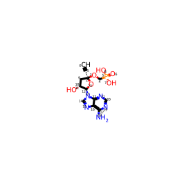 C#C[C@@]1(OCP(=O)(O)O)C[C@@H](O)[C@H](n2cnc3c(N)ncnc32)O1